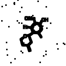 C=C1CCOC(c2c(C)cc(O)c(OC)c2CC)C1